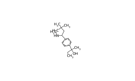 CCC(C)(O)c1ccc(C(CC(C)(C)C)NC)cc1